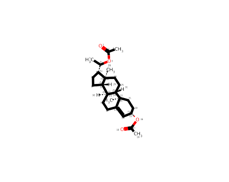 CC(=O)OC(C)[C@H]1CC[C@H]2[C@@H]3CCC4=C[C@@H](OC(C)=O)CC[C@]4(C)[C@H]3CC[C@]12C